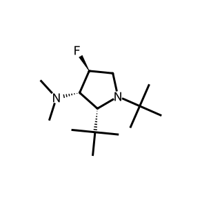 CN(C)[C@H]1[C@@H](C(C)(C)C)N(C(C)(C)C)C[C@@H]1F